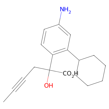 CC#CCC(O)(C(=O)O)c1ccc(N)cc1C1CCCCC1